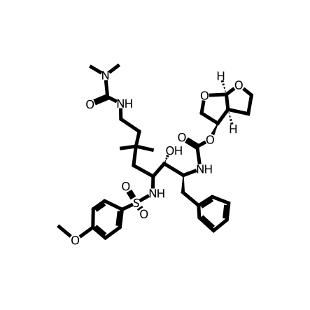 COc1ccc(S(=O)(=O)NC(CC(C)(C)CCNC(=O)N(C)C)[C@H](O)[C@H](Cc2ccccc2)NC(=O)O[C@H]2CO[C@H]3OCC[C@H]32)cc1